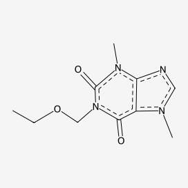 CCOCn1c(=O)c2c(ncn2C)n(C)c1=O